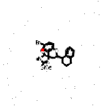 CSC1=NC2(CC(C3CCCc4ccccc43)Oc3ccc(Br)cc32)C(=O)N1C